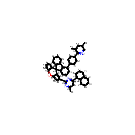 Cc1cnc(-c2ccc(-c3cccc4c3-c3ccccc3C43c4ccccc4Oc4ccc(-c5nc(C)cc(-c6cccc7ccccc67)n5)cc43)cc2)c(C)c1